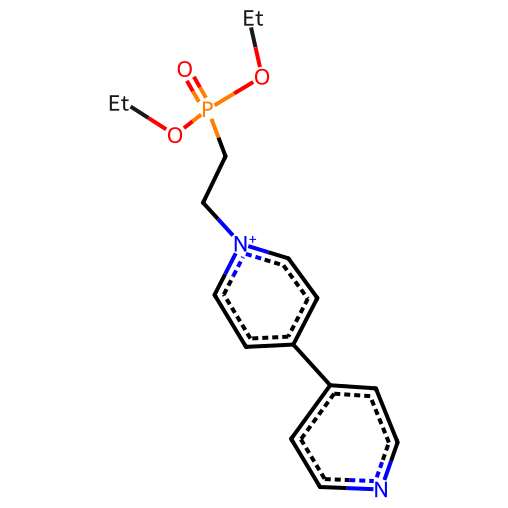 CCOP(=O)(CC[n+]1ccc(-c2ccncc2)cc1)OCC